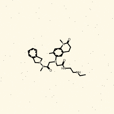 CCNCCNC(=O)CN(CC(=O)N(C)N1Cc2ccccc2C1)c1cc2c(cc1C)N(C)C(=O)CC2